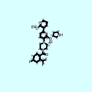 CCOc1ncccc1-c1ccc(N2CCN(C(=O)c3ccc(F)cc3C(F)F)C[C@H]2CC)c(O[C@@H]2CCNC2)n1